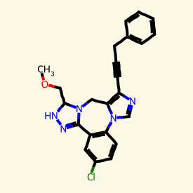 COCC1NN=C2c3cc(Cl)ccc3-n3cnc(C#CCc4ccccc4)c3CN21